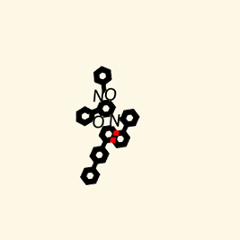 c1ccc(-c2ccc(-c3ccc(N(c4ccccc4-c4ccccc4)c4cc5oc(-c6ccccc6)nc5c5c4oc4ccccc45)cc3)cc2)cc1